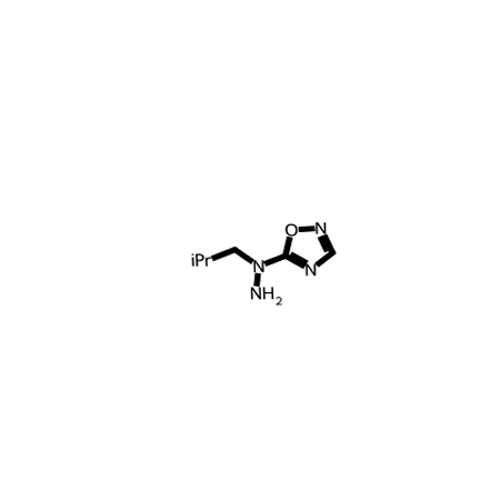 CC(C)CN(N)c1ncno1